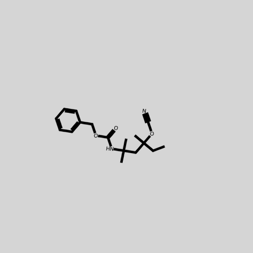 CCC(C)(CC(C)(C)NC(=O)OCc1ccccc1)OC#N